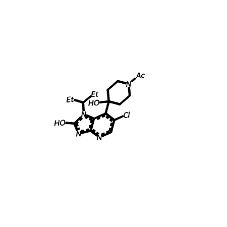 CCC(CC)n1c(O)nc2ncc(Cl)c(C3(O)CCN(C(C)=O)CC3)c21